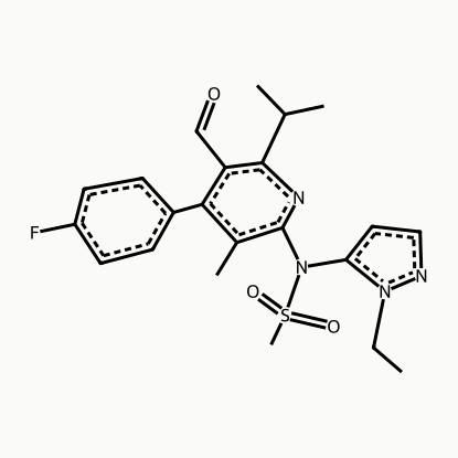 CCn1nccc1N(c1nc(C(C)C)c(C=O)c(-c2ccc(F)cc2)c1C)S(C)(=O)=O